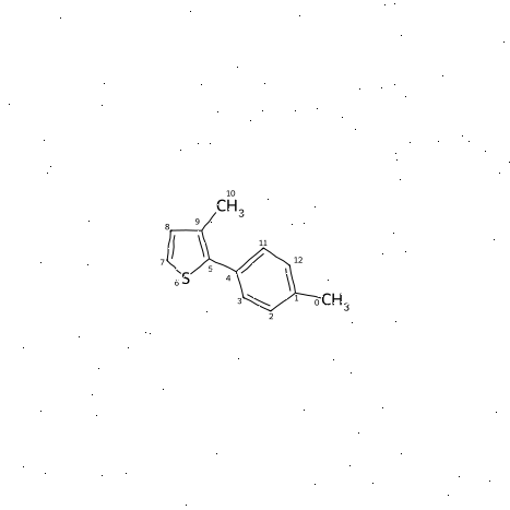 Cc1ccc(-c2sccc2C)cc1